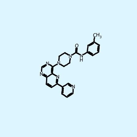 Cc1cccc(NC(=O)N2CCN(c3ncnc4ccc(-c5cccnc5)nc34)CC2)c1